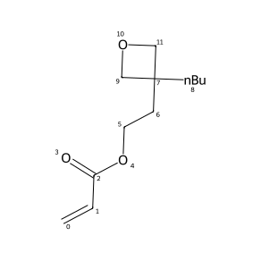 C=CC(=O)OCCC1(CCCC)COC1